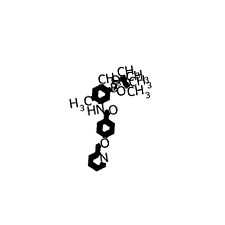 Cc1cc(C)c(B2OC(C)(C)C(C)(C)O2)cc1NC(=O)c1ccc(OCc2ccccn2)cc1